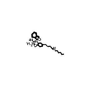 CCCCCCN=CCCCc1ccc(OC)c(N(C(N)=NC)c2occ3ccccc23)c1